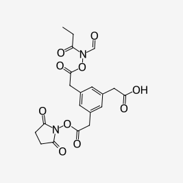 CCC(=O)N(C=O)OC(=O)Cc1cc(CC(=O)O)cc(CC(=O)ON2C(=O)CCC2=O)c1